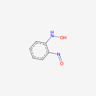 O=Nc1ccccc1NO